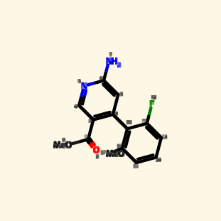 COC(=O)c1cnc(N)cc1-c1c(F)cccc1OC